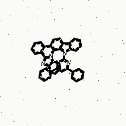 c1ccc(-c2cc(-c3ccccc3)nc(-n3c4ccccc4c4ccc5c6ccccc6c6nc7ccccc7n6c5c43)n2)cc1